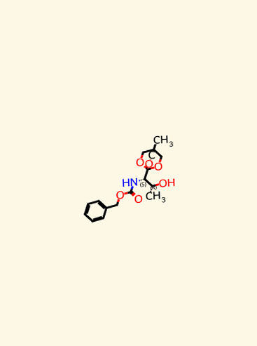 C[C@@H](O)[C@H](NC(=O)OCc1ccccc1)C12OCC(C)(CO1)CO2